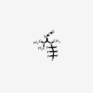 CN(C)C(=[Se]=C=O)N(C)C(F)(F)C(F)(F)C(F)(F)F